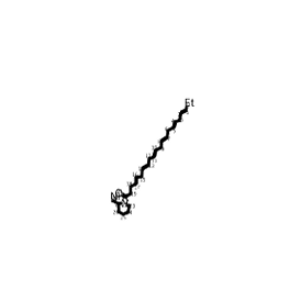 CCC=CCC=CCC=CCC=CCC=CCC=CCCC(=O)N1CCCCC1CN